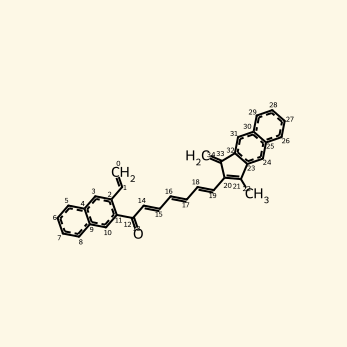 C=Cc1cc2ccccc2cc1C(=O)/C=C/C=C/C=C/C1=C(C)c2cc3ccccc3cc2C1=C